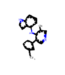 N#Cc1cncc(-c2cccc(C(F)(F)F)c2)c1Nc1cccc2[nH]ccc12